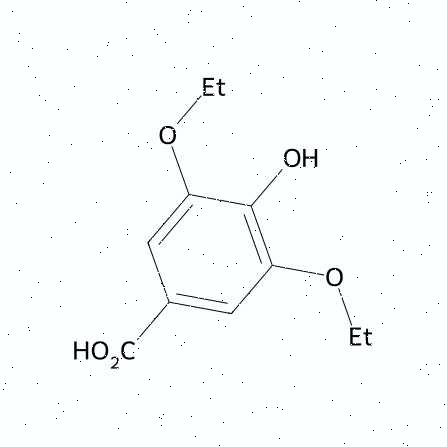 CCOc1cc(C(=O)O)cc(OCC)c1O